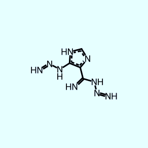 N=NNC(=N)c1nc[nH]c1NN=N